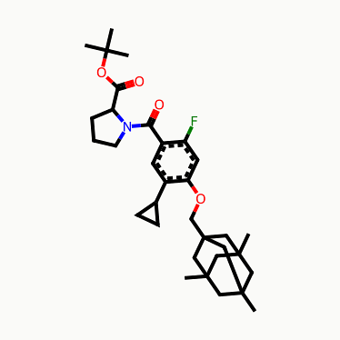 CC12CC3(C)CC(C)(C1)CC(COc1cc(F)c(C(=O)N4CCCC4C(=O)OC(C)(C)C)cc1C1CC1)(C2)C3